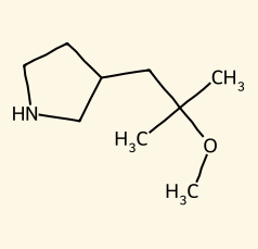 COC(C)(C)CC1CCNC1